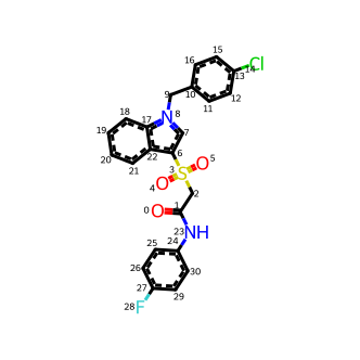 O=C(CS(=O)(=O)c1cn(Cc2ccc(Cl)cc2)c2ccccc12)Nc1ccc(F)cc1